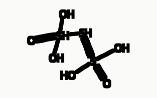 O=S(O)(O)=[SH][SH](=O)(O)O